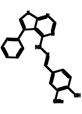 COc1cc(/C=N/Nc2ncnc3scc(-c4ccccc4)c23)ccc1O